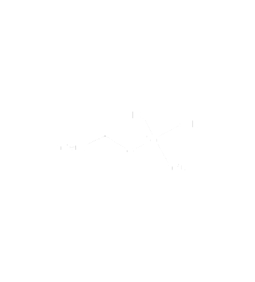 CCCCCC[O][Sn]([CH3])([CH3])[CH2]CCC